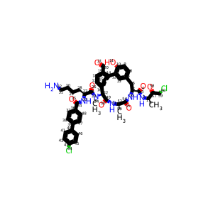 C[C@H](NC(=O)[C@@H]1Cc2ccc(O)c(c2)-c2cc(ccc2C=O)[C@H](N(C)C(=O)[C@H](CCCCN)NC(=O)c2ccc(-c3ccc(Cl)cc3)cc2)C(=O)N[C@@H](C)C(=O)N1)C(=O)CCl